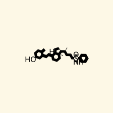 C=C1CC[C@H](O)C/C1=C/C=C1\CCC[C@]2(C)[C@@H]([C@H](C)CCCS(=N)(=O)c3ccccc3)CC[C@@H]12